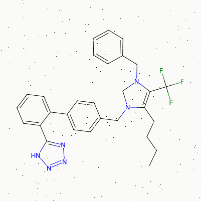 CCCCC1=C(C(F)(F)F)N(Cc2ccccc2)CN1Cc1ccc(-c2ccccc2-c2nnn[nH]2)cc1